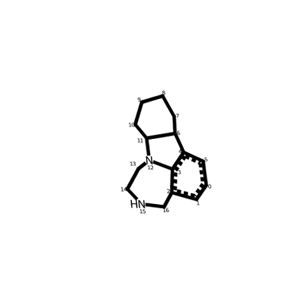 c1cc2c3c(c1)C1CCCCC1N3CCNC2